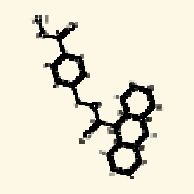 O=C(OO)c1ccc(COC(=O)c2c3ccccc3cc3ccccc23)cc1